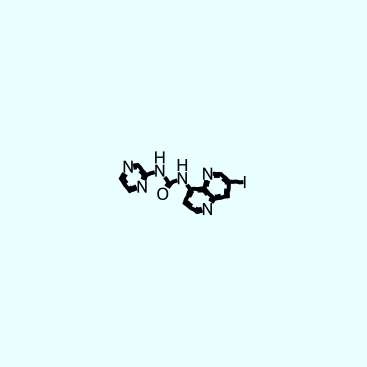 O=C(Nc1cnccn1)Nc1ccnc2cc(I)cnc12